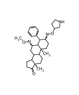 CON=C1CC2C(CC[C@]3(C)C(=O)CCC23)[C@@]2(C)CCC(=NOC3CCNC3)C(c3ccccc3)C12